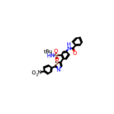 CC(C)(C)NS(=O)(=O)c1cc(NC(=O)c2ccccc2)ccc1-c1cnc(-c2ccc([N+](=O)[O-])cc2)s1